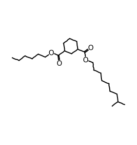 CCCCCCOC(=O)C1CCCC(C(=O)OCCCCCCCC(C)C)C1